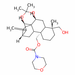 C=C1[C@H]2CCC34C(C2)[C@]2(COC(=O)N5CCOCC5)CCC[C@@](C)(CO)C2C[C@H]3OC(C)(C)O[C@@H]14